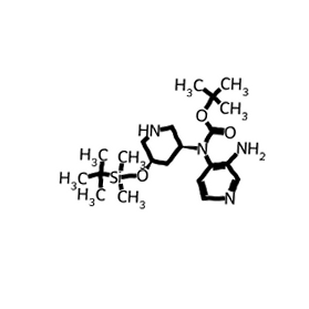 CC(C)(C)OC(=O)N(c1ccncc1N)[C@@H]1CNC[C@H](O[Si](C)(C)C(C)(C)C)C1